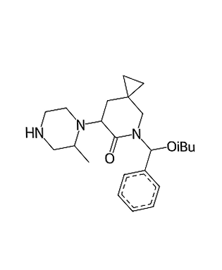 CC(C)COC(c1ccccc1)N1CC2(CC2)CC(N2CCNCC2C)C1=O